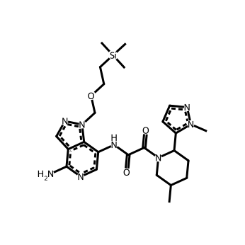 CC1CCC(c2ccnn2C)N(C(=O)C(=O)Nc2cnc(N)c3cnn(COCC[Si](C)(C)C)c23)C1